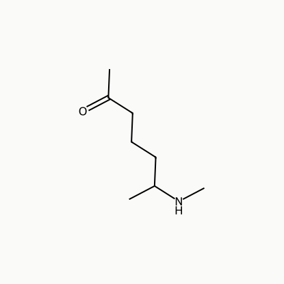 CNC(C)CCCC(C)=O